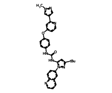 Cn1cc(-c2cc(Oc3ccc(NC(=O)Nc4cc(C(C)(C)C)nn4-c4ccc5ncccc5c4)cc3)ccn2)cn1